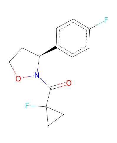 O=C(N1OCC[C@H]1c1ccc(F)cc1)C1(F)CC1